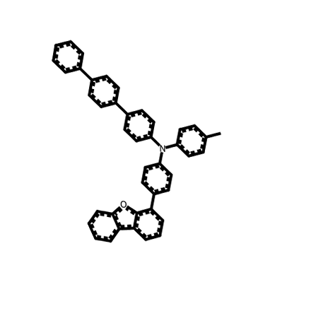 Cc1ccc(N(c2ccc(-c3ccc(-c4ccccc4)cc3)cc2)c2ccc(-c3cccc4c3oc3ccccc34)cc2)cc1